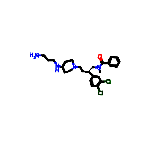 CN(C[C@@H](CCN1CCC(NCCCN)CC1)c1ccc(Cl)c(Cl)c1)C(=O)c1ccccc1